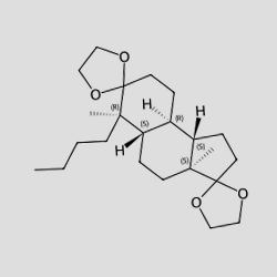 CCCC[C@]1(C)[C@H]2CC[C@@]3(C)[C@@H](CCC34OCCO4)[C@@H]2CCC12OCCO2